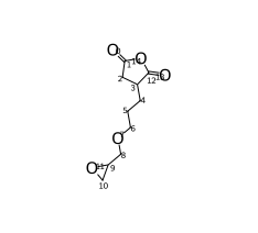 O=C1CC(CCCOCC2CO2)C(=O)O1